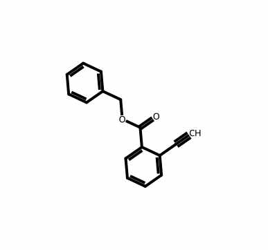 C#Cc1ccccc1C(=O)OCc1ccccc1